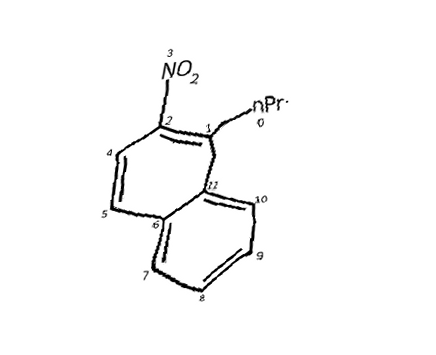 CC[CH]c1c([N+](=O)[O-])ccc2ccccc12